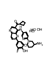 Cl.Cl.Cl.NC1CCCN(c2ccc(Nc3c(C(=O)C4CCC4)cnc4ccc(-c5cc(F)c(O)c(Cl)c5)nc34)cn2)C1